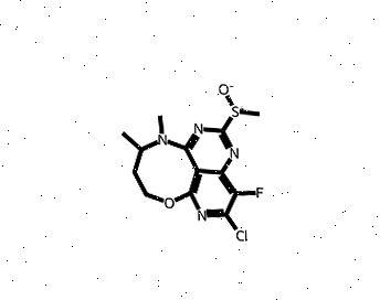 CC1CCOc2nc(Cl)c(F)c3nc([S+](C)[O-])nc(c23)N1C